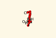 CN(C)CCC(CSc1ccccc1)Nc1ccc(S(=O)(=O)NC(=O)c2ccc(N3CCC(N(C)Cc4ccccc4-c4ccc(Cl)cc4)CC3)cc2)cc1[N+](=O)[O-]